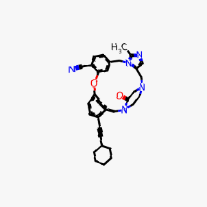 Cc1ncc2n1Cc1ccc(C#N)c(c1)Oc1ccc(C#CC3CCCCC3)c(c1)CN1CCN(CC1=O)C2